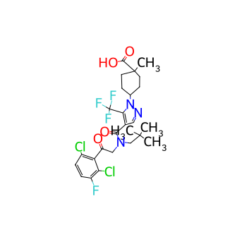 CC(C)(C)CN(CC(=O)c1c(Cl)ccc(F)c1Cl)C(=O)c1cnn(C2CCC(C)(C(=O)O)CC2)c1C(F)(F)F